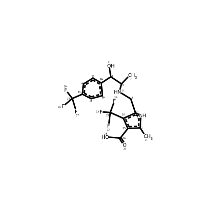 Cc1[nH]c(CNC(C)C(O)c2ccc(C(F)(F)F)cc2)c(C(F)(F)F)c1C(=O)O